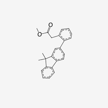 COC(=O)Cc1ccccc1-c1ccc2c(c1)C(C)(C)c1ccccc1-2